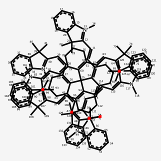 CN1C(=CC=C2CCCC(C=CC3=[N+](C)c4ccccc4C3(C)C)=C2C(C2=C(C=CC3=[N+](C)c4ccccc4C3(C)C)CCCC2=CC=C2N(C)c3ccccc3C2(C)C)(C2=C(C=CC3=[N+](C)c4ccccc4C3(C)C)CCCC2=CC=C2N(C)c3ccccc3C2(C)C)C2=C(C=CC3=[N+](C)c4ccccc4C3(C)C)CCCC2=CC=C2N(C)c3ccccc3C2(C)C)C(C)(C)c2ccccc21